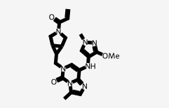 C=CC(=O)N1CC2C(C1)C2Cn1cc(Nc2cn(C)nc2OC)c2ncc(C)n2c1=O